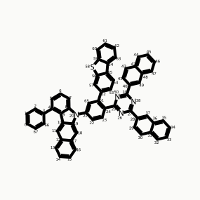 c1ccc(-c2cccc3c2c2cc4ccccc4cc2n3-c2ccc(-c3nc(-c4ccc5ccccc5c4)nc(-c4ccc5ccccc5c4)n3)c(-c3ccc4c(c3)sc3ccccc34)c2)cc1